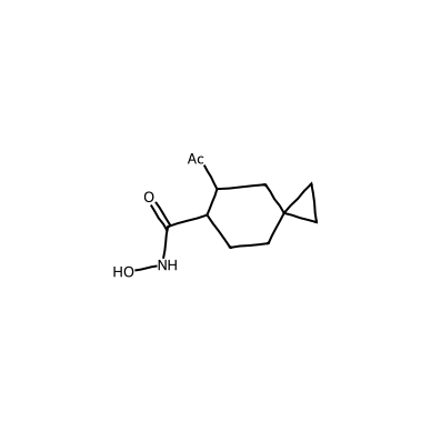 CC(=O)C1CC2(CCC1C(=O)NO)CC2